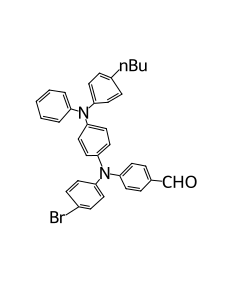 CCCCc1ccc(N(c2ccccc2)c2ccc(N(c3ccc(Br)cc3)c3ccc(C=O)cc3)cc2)cc1